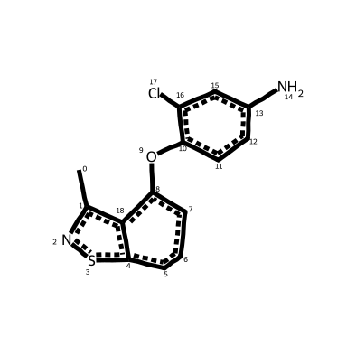 Cc1nsc2cccc(Oc3ccc(N)cc3Cl)c12